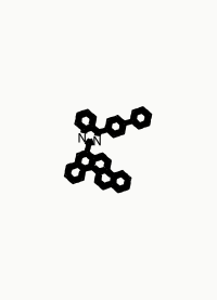 c1ccc(-c2ccc(-c3nc(-c4cc5ccccc5c5c4ccc4c6ccccc6ccc45)nc4ccccc34)cc2)cc1